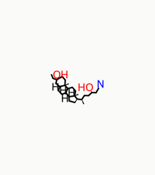 CC[C@]1(O)CC[C@@]2(C)[C@@H](CC[C@@H]3[C@@H]2CC[C@]2(C)[C@@H]([C@H](C)CC[C@@H](O)CC#N)CC[C@@H]32)C1